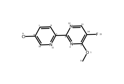 COc1nc(-c2ccc(Cl)cn2)ncc1F